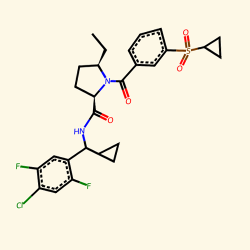 CC[C@@H]1CC[C@H](C(=O)NC(c2cc(F)c(Cl)cc2F)C2CC2)N1C(=O)c1cccc(S(=O)(=O)C2CC2)c1